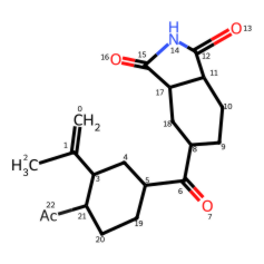 C=C(C)C1CC(C(=O)C2CCC3C(=O)NC(=O)C3C2)CCC1C(C)=O